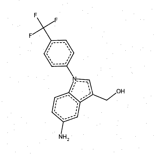 Nc1ccc2c(c1)c(CO)cn2-c1ccc(C(F)(F)F)cc1